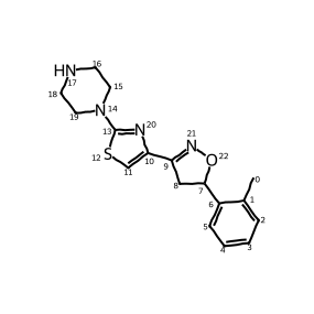 Cc1ccccc1C1CC(c2csc(N3CCNCC3)n2)=NO1